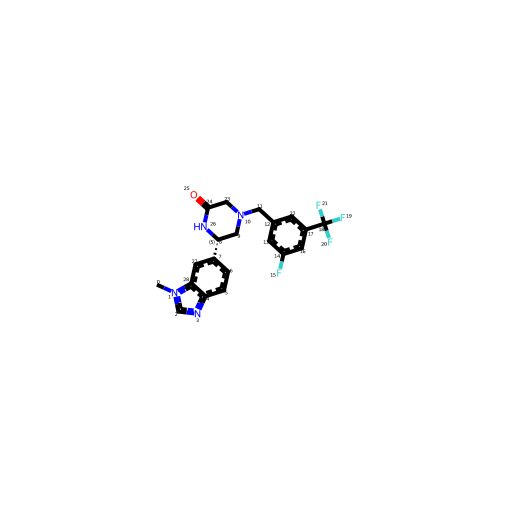 Cn1cnc2ccc([C@H]3CN(Cc4cc(F)cc(C(F)(F)F)c4)CC(=O)N3)cc21